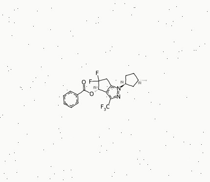 C[C@H]1CC[C@H](n2nc(C(F)(F)F)c3c2CC(F)(F)[C@H]3OC(=O)c2ccccc2)C1